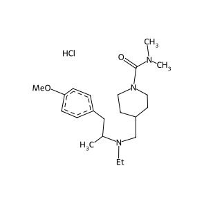 CCN(CC1CCN(C(=O)N(C)C)CC1)C(C)Cc1ccc(OC)cc1.Cl